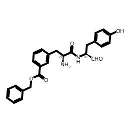 N[C@@H](Cc1cccc(C(=O)OCc2ccccc2)c1)C(=O)N[C@H](C=O)Cc1ccc(O)cc1